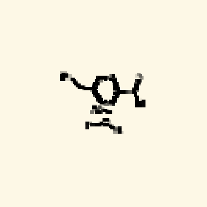 CC(C)=O.CCC(=O)c1ccc(CC(C)C)cc1.CCOCC